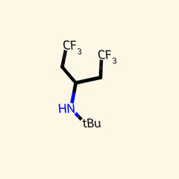 CC(C)(C)NC(CC(F)(F)F)CC(F)(F)F